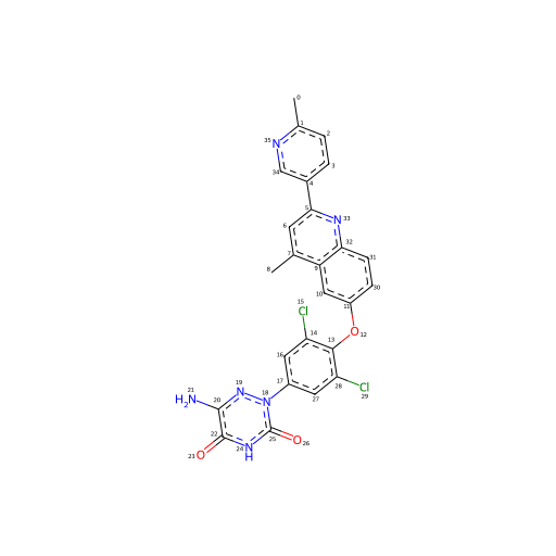 Cc1ccc(-c2cc(C)c3cc(Oc4c(Cl)cc(-n5nc(N)c(=O)[nH]c5=O)cc4Cl)ccc3n2)cn1